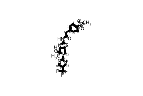 CC1(C)c2nc(NC(=O)Cc3ccc(S(C)(=O)=O)cc3)sc2CN1c1ncc(C(F)(F)F)cn1